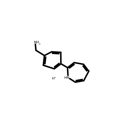 NCc1ccc(C2=CC=CC=CN2)cc1.[H+]